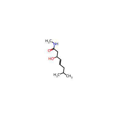 CNC(=O)CC(O)/C=C/CC(C)C